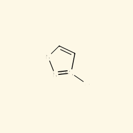 [O-][n+]1cc[nH]n1